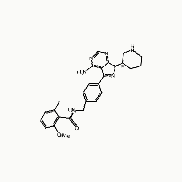 COc1cccc(C)c1C(=O)NCc1ccc(-c2nn([C@@H]3CCCNC3)c3ncnc(N)c23)cc1